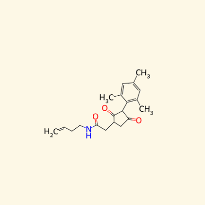 C=CCCNC(=O)CC1CC(=O)C(c2c(C)cc(C)cc2C)C1=O